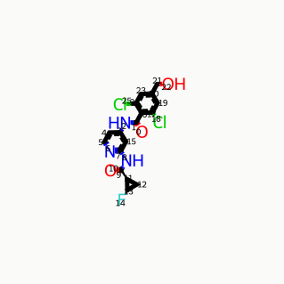 O=C(Nc1ccnc(NC(=O)[C@H]2C[C@@H]2F)c1)c1c(Cl)cc(CO)cc1Cl